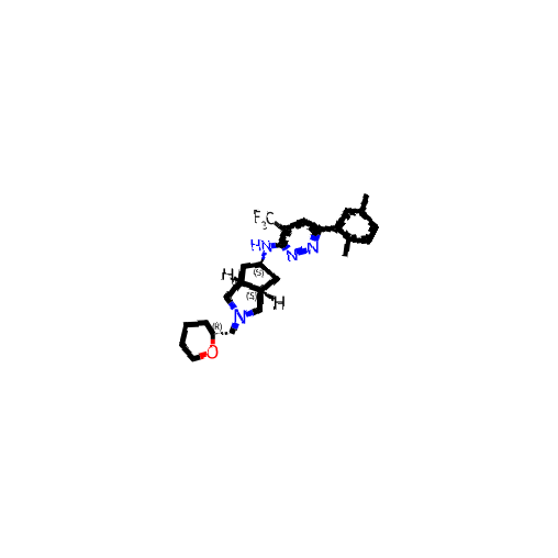 Cc1ccc(C)c(-c2cc(C(F)(F)F)c(N[C@H]3C[C@@H]4CN(C[C@H]5CCCCO5)C[C@@H]4C3)nn2)c1